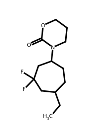 CCC1CCC(N2CCCOC2=O)CC(F)(F)C1